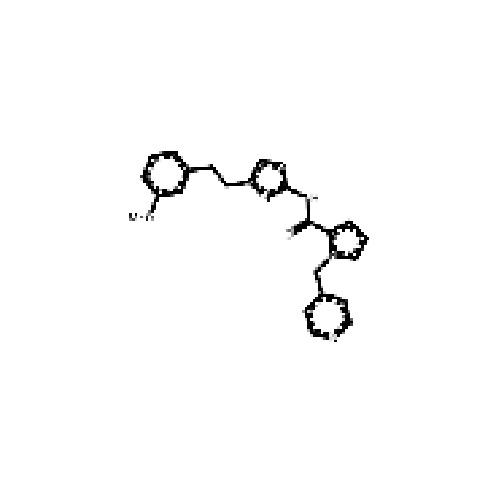 COc1cccc(CCc2csc(NC(=O)c3cccn3Cc3ccncc3)n2)c1